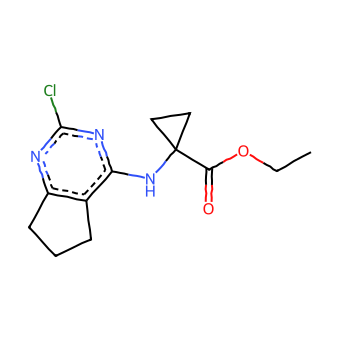 CCOC(=O)C1(Nc2nc(Cl)nc3c2CCC3)CC1